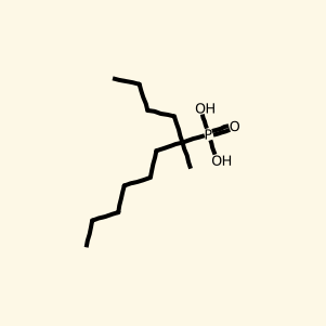 CCCCCCC(C)(CCCC)P(=O)(O)O